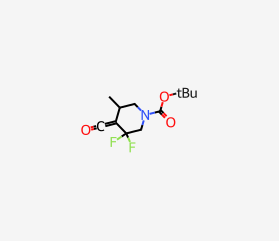 CC1CN(C(=O)OC(C)(C)C)CC(F)(F)C1=C=O